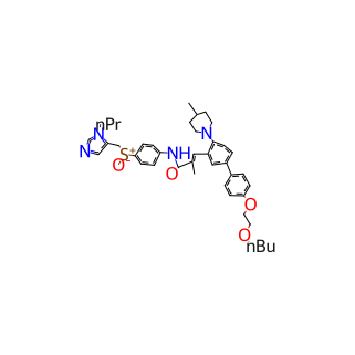 CCCCOCCOc1ccc(-c2ccc(N3CCC(C)CC3)c(/C=C(\C)C(=O)Nc3ccc([S+]([O-])Cc4cncn4CCC)cc3)c2)cc1